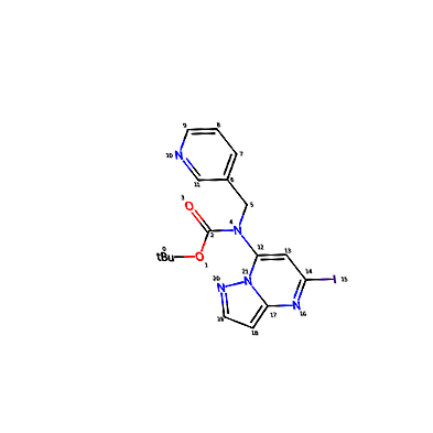 CC(C)(C)OC(=O)N(Cc1cccnc1)c1cc(I)nc2ccnn12